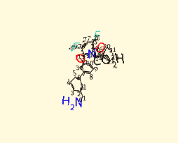 NCc1cccc(-c2cccc(Oc3nc(OC4(CC(=O)O)CCCCC4)c(F)cc3F)c2)c1